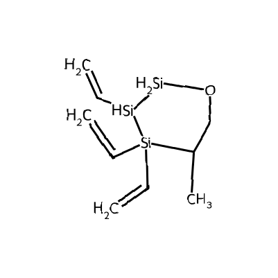 C=C[SiH]1[SiH2]OCC(C)[Si]1(C=C)C=C